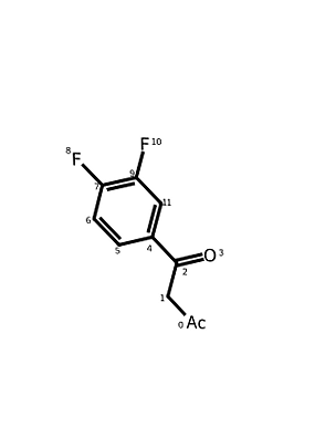 CC(=O)CC(=O)c1ccc(F)c(F)c1